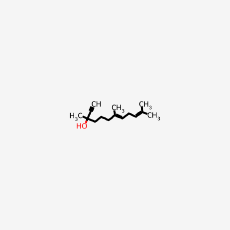 C#CC(C)(O)CCC/C(C)=C/CC=C(C)C